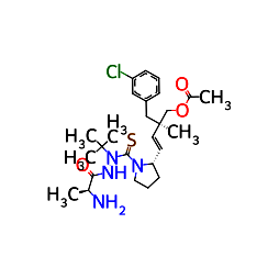 CC(=O)OC[C@@](C)(/C=C/[C@@H]1CCCN1C(=S)N(NC(=O)[C@H](C)N)C(C)(C)C)Cc1cccc(Cl)c1